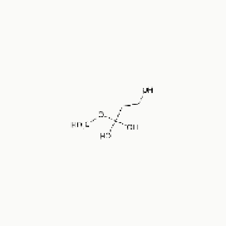 O=C(O)OC(O)(O)CCO